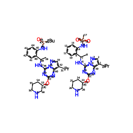 CC(C)c1cnn2c(NC(C)c3ccccc3NS(C)(=O)=O)nc(O[C@@H]3CCCNC3)nc12.CC(C)c1cnn2c(NC(C)c3ccccc3N[S+]([O-])C(C)(C)C)nc(O[C@@H]3CCCNC3)nc12